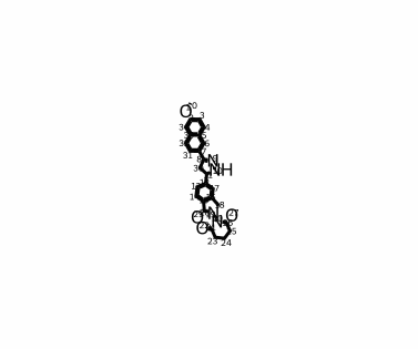 COc1ccc2cc(C3=NNC(c4ccc5c(c4)CN(N4C(=O)CCCC4=O)C5=O)C3)ccc2c1